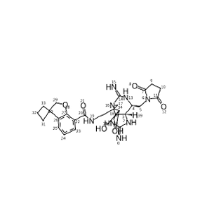 N=C1N[C@H]2[C@H](CN3C(=O)CCC3=O)NC(=N)N3CC(NC(=O)c4cccc5c4OCC54CCC4)C(O)(O)C23N1